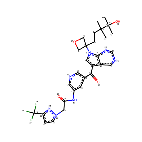 CC(C)(CCC1(n2cc(C(=O)c3cncc(NC(=O)Cn4ccc(C(F)(F)F)n4)c3)c3cncnc32)COC1)[Si](C)(C)O